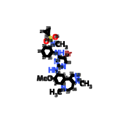 COc1cc2c(cc1Nc1ncc(Br)c(Nc3ccccc3N(C)S(=O)(=O)C3CC3)n1)-c1cnn(C)c1CCN2C